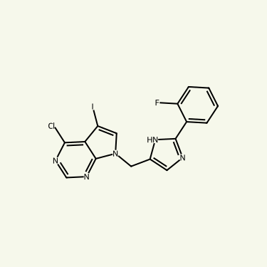 Fc1ccccc1-c1ncc(Cn2cc(I)c3c(Cl)ncnc32)[nH]1